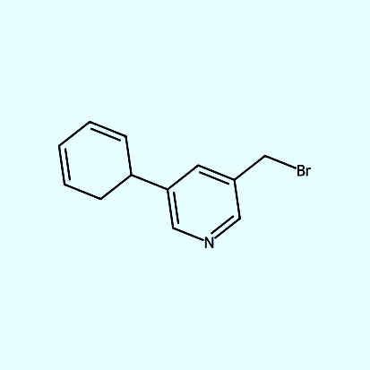 BrCc1cncc(C2C=CC=CC2)c1